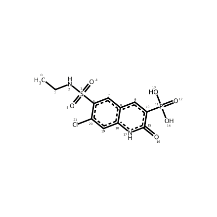 CCNS(=O)(=O)c1cc2cc(P(=O)(O)O)c(=O)[nH]c2cc1Cl